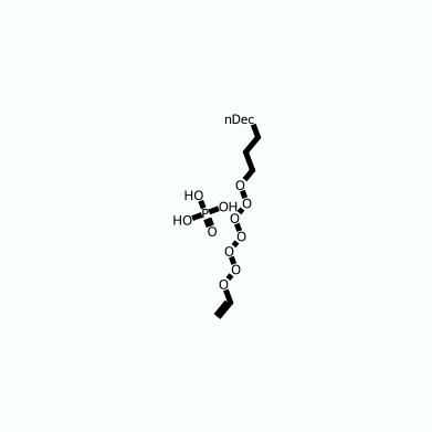 C=COOOOOOOCCCCCCCCCCCCC.O=P(O)(O)O